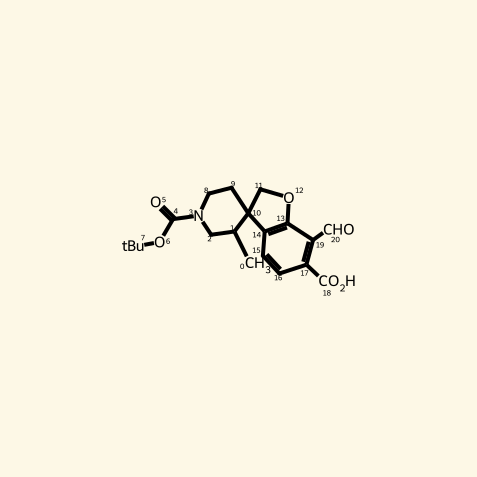 CC1CN(C(=O)OC(C)(C)C)CCC12COc1c2ccc(C(=O)O)c1C=O